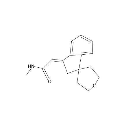 CNC(=O)C=C1CC2(CCCCC2)c2ccccc21